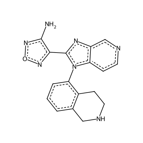 Nc1nonc1-c1nc2cnccc2n1-c1cccc2c1CCNC2